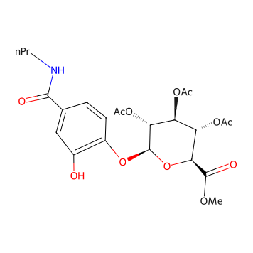 CCCNC(=O)c1ccc(O[C@@H]2O[C@H](C(=O)OC)[C@@H](OC(C)=O)[C@H](OC(C)=O)[C@H]2OC(C)=O)c(O)c1